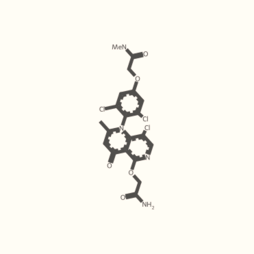 CNC(=O)COc1cc(Cl)c(-n2c(C)cc(=O)c3c(OCC(N)=O)ncc(Cl)c32)c(Cl)c1